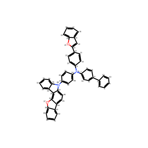 c1ccc(-c2ccc(N(c3ccc(-c4cc5ccccc5o4)cc3)c3ccc(-n4c5ccccc5c5c6oc7ccccc7c6ccc54)cc3)cc2)cc1